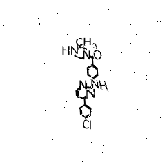 C[C@H]1CN(C(=O)c2ccc(Nc3nccc(-c4ccc(Cl)cc4)n3)cc2)CCN1